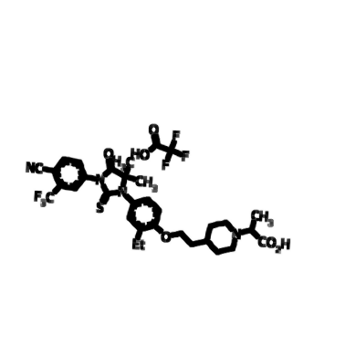 CCc1cc(N2C(=S)N(c3ccc(C#N)c(C(F)(F)F)c3)C(=O)C2(C)C)ccc1OCCC1CCN(C(C)C(=O)O)CC1.O=C(O)C(F)(F)F